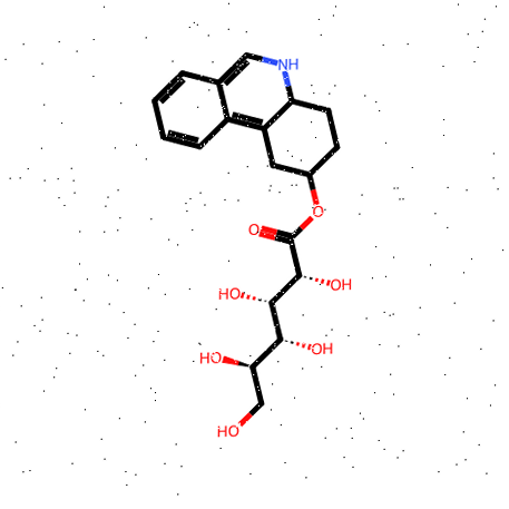 O=C(OC1CCC2NC=c3ccccc3=C2C1)[C@H](O)[C@@H](O)[C@H](O)[C@H](O)CO